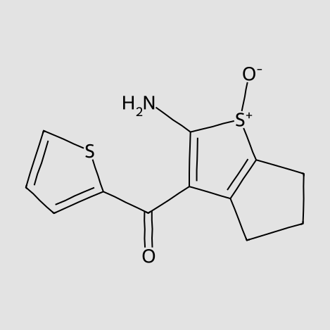 Nc1c(C(=O)c2cccs2)c2c([s+]1[O-])CCC2